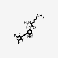 Cl.Cl.NCCCCC(N)C(=O)Nc1cccc(C#Cc2c(F)c(F)nc(F)c2F)c1